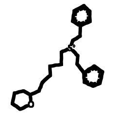 c1ccc(CC[S+](CCCCCCC2CCCCO2)CCc2ccccc2)cc1